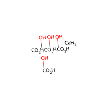 O=C(O)O.O=C(O)O.O=C(O)O.O=C(O)O.[CaH2]